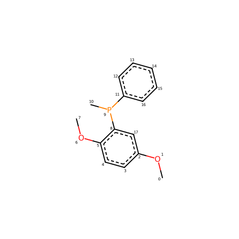 COc1ccc(OC)c(P(C)c2ccccc2)c1